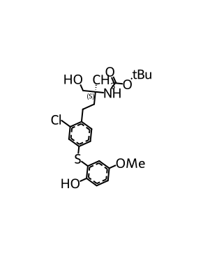 COc1ccc(O)c(Sc2ccc(CC[C@@](C)(CO)NC(=O)OC(C)(C)C)c(Cl)c2)c1